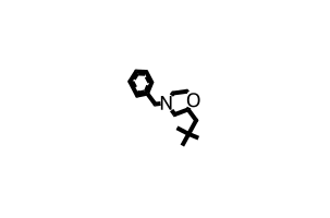 CC(C)(C)CC1CN(Cc2ccccc2)CCO1